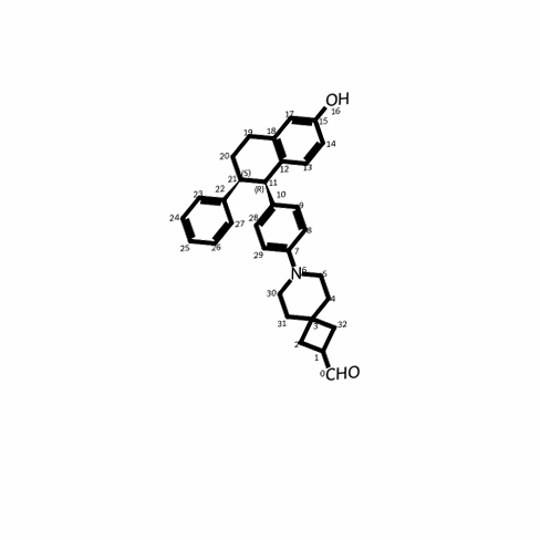 O=CC1CC2(CCN(c3ccc([C@@H]4c5ccc(O)cc5CC[C@@H]4c4ccccc4)cc3)CC2)C1